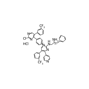 Cl.FC(F)(F)c1cccc(-c2cnc(Cl)nc2-c2ccncc2)c1.N[C@H](CNc1ncc(-c2cccc(C(F)(F)F)c2)c(-c2ccncc2)n1)Cc1ccccc1